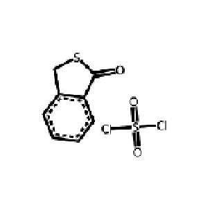 O=C1SCc2ccccc21.O=S(=O)(Cl)Cl